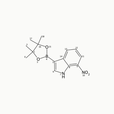 CC1(C)OB(c2c[nH]c3c([N+](=O)[O-])cccc23)OC1(C)C